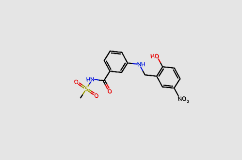 CS(=O)(=O)NC(=O)c1cccc(NCc2cc([N+](=O)[O-])ccc2O)c1